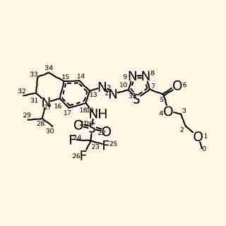 COCCOC(=O)c1nnc(N=Nc2cc3c(cc2NS(=O)(=O)C(F)(F)F)N(C(C)C)C(C)CC3)s1